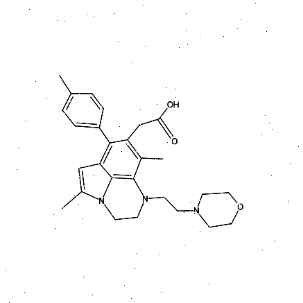 Cc1ccc(-c2c(CC(=O)O)c(C)c3c4c2cc(C)n4CCN3CCN2CCOCC2)cc1